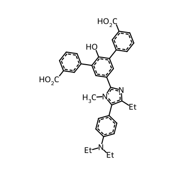 CCc1nc(-c2cc(-c3cccc(C(=O)O)c3)c(O)c(-c3cccc(C(=O)O)c3)c2)n(C)c1-c1ccc(N(CC)CC)cc1